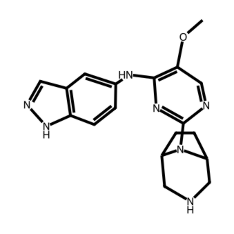 COc1cnc(N2C3CCC2CNC3)nc1Nc1ccc2[nH]ncc2c1